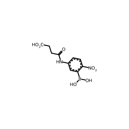 O=C(O)CCC(=O)Nc1ccc([N+](=O)[O-])c(B(O)O)c1